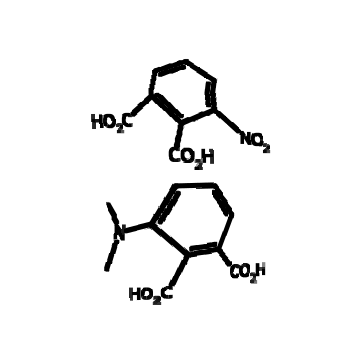 CN(C)c1cccc(C(=O)O)c1C(=O)O.O=C(O)c1cccc([N+](=O)[O-])c1C(=O)O